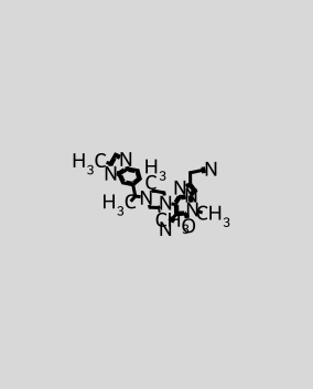 Cc1cnc2ccc(C(C)N3C[C@H](C)N(c4c(C#N)c(=O)n(C)n5cc(CC#N)nc45)C[C@H]3C)cc2n1